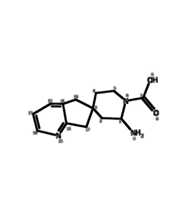 NC1CC2(CCN1C(=O)O)Cc1cccnc1C2